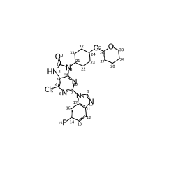 O=c1[nH]c2c(Cl)nc(-n3cnc4ccc(F)cc43)nc2n1C1CCC(OC2CCCCO2)CC1